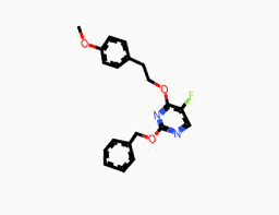 COc1ccc(CCOc2nc(OCc3ccccc3)ncc2F)cc1